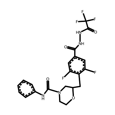 O=C(NNC(=O)C(F)(F)F)c1cc(F)c(CC2CN(C(=O)Nc3ccccc3)CCO2)c(F)c1